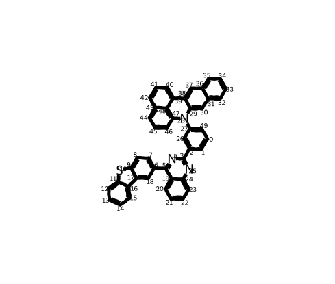 c1cc(-c2nc(-c3ccc4sc5ccccc5c4c3)c3ccccc3n2)cc(N2c3cc4ccccc4cc3-c3cccc4cccc2c34)c1